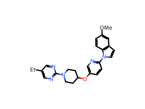 CCc1cnc(N2CCC(Oc3ccc(-n4ccc5cc(OC)ccc54)nc3)CC2)nc1